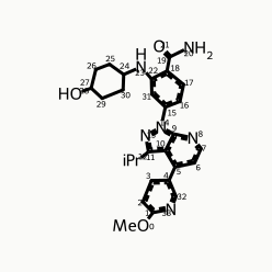 COc1ccc(-c2ccnc3c2c(C(C)C)nn3-c2ccc(C(N)=O)c(NC3CCC(O)CC3)c2)cn1